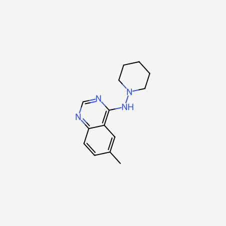 Cc1ccc2ncnc(NN3CCCCC3)c2c1